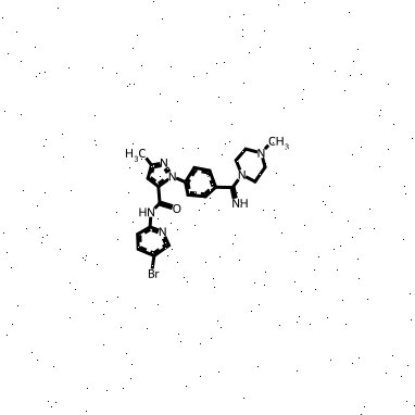 Cc1cc(C(=O)Nc2ccc(Br)cn2)n(-c2ccc(C(=N)N3CCN(C)CC3)cc2)n1